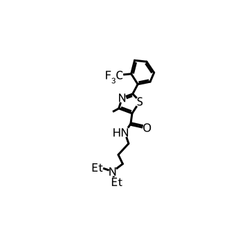 CCN(CC)CCCNC(=O)c1sc(-c2ccccc2C(F)(F)F)nc1C